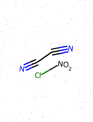 N#CC#N.O=[N+]([O-])Cl